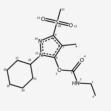 CCNC(=O)Oc1c(C)c(S(C)(=O)=O)nn1C1CCCCC1